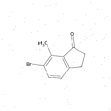 Cc1c(Br)ccc2c1C(=O)CC2